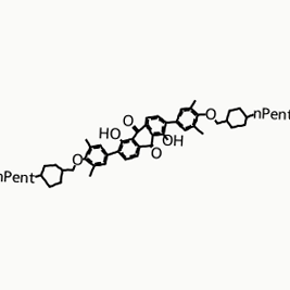 CCCCCC1CCC(COc2c(C)cc(-c3ccc4c(c3O)C(=O)c3ccc(-c5cc(C)c(OCC6CCC(CCCCC)CC6)c(C)c5)c(O)c3C4=O)cc2C)CC1